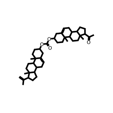 C=C(C)C1CCC2C3CC=C4CC(OC(=O)OC5CCC6(C)C(=CCC7C6CCC6(C)C(C(C)=O)CCC76)C5)CCC4(C)C3CCC12C